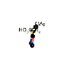 CSc1ccc(CCCC(SC(C)C(=O)O)c2ccc(OCc3ccc4ccccc4n3)cc2)cc1